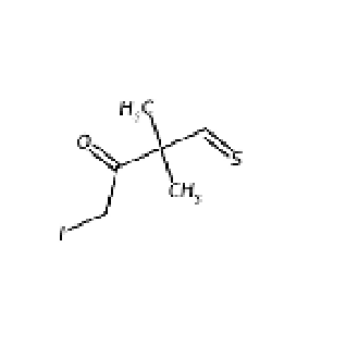 CC(C)(C=S)C(=O)CI